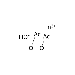 CC(=O)[O-].CC(=O)[O-].[In+3].[OH-]